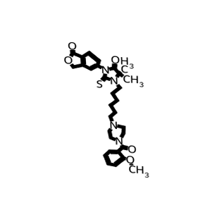 COc1ccccc1C(=O)N1CCN(CCCCCCN2C(=S)N(c3ccc4c(c3)COC4=O)C(=O)C2(C)C)CC1